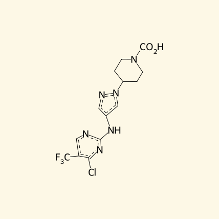 O=C(O)N1CCC(n2cc(Nc3ncc(C(F)(F)F)c(Cl)n3)cn2)CC1